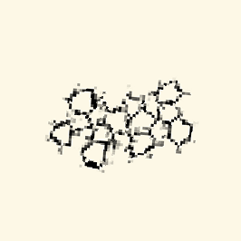 Nc1nc2c(nnn2C(c2ccccc2)(c2ccccc2)c2ccccc2)c(Br)c1C(c1ccccc1)(c1ccccc1)c1ccccc1